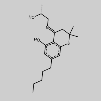 CCCCCc1cc(O)c2c(c1)SC(C)(C)CC2=NC[C@@H](C)O